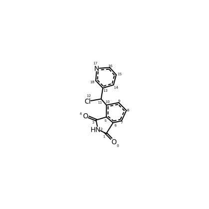 O=C1NC(=O)c2c1cccc2C(Cl)c1cccnc1